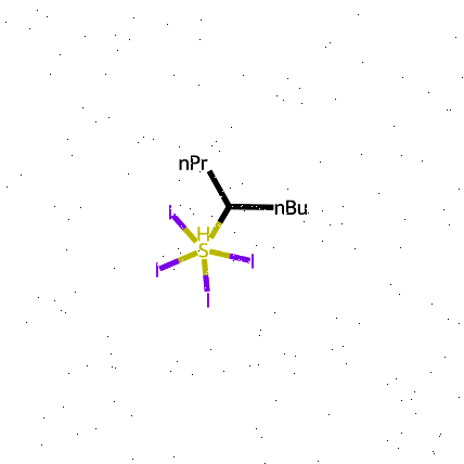 CCCCC(CCC)[SH](I)(I)(I)I